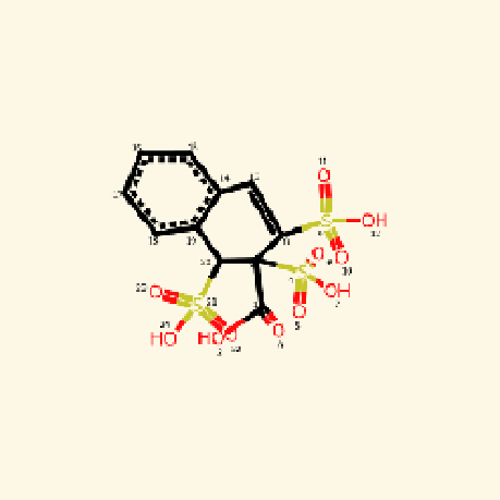 O=C(O)C1(S(=O)(=O)O)C(S(=O)(=O)O)=Cc2ccccc2C1S(=O)(=O)O